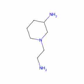 NCCN1CCCC(N)C1